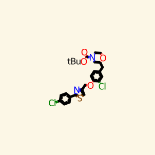 CC(C)(C)OC(=O)N1CCOC(Cc2ccc(OCc3csc(-c4ccc(Cl)cc4)n3)c(Cl)c2)C1